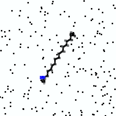 [2H]NCCCCCCCCCCCCCC